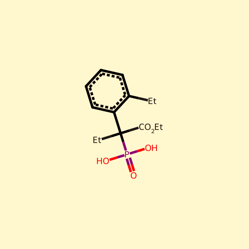 CCOC(=O)C(CC)(c1ccccc1CC)P(=O)(O)O